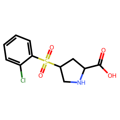 O=C(O)C1CC(S(=O)(=O)c2ccccc2Cl)CN1